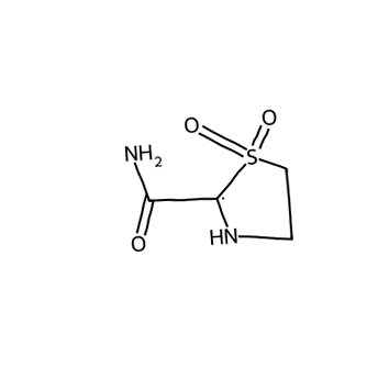 NC(=O)[C]1NCCS1(=O)=O